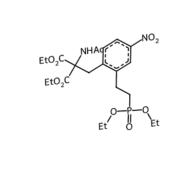 CCOC(=O)C(Cc1ccc([N+](=O)[O-])cc1CCP(=O)(OCC)OCC)(NC(C)=O)C(=O)OCC